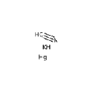 C#N.[Hg].[KH]